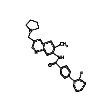 Cc1cc2cc(CN3CCCC3)cnc2cc1NC(=O)c1ccc(-c2ccccc2F)cc1